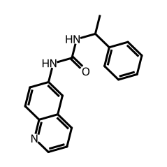 CC(NC(=O)Nc1ccc2ncccc2c1)c1ccccc1